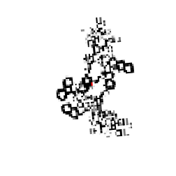 C=CCOC(=O)C(Cc1ccc(OCc2cn([C@@H]3CCN(C(=O)C(NC(=O)C(C)N(C)C(=O)OC(C)(C)C)C(C)(C)C)[C@@H]3C(=O)NC(Cc3ccc4ccccc4c3)C(=O)O)nn2)cc1)NC(=O)C(Cc1ccc2ccccc2c1)NC(=O)[C@@H]1[C@H](n2cc(COc3ccc(CC(NC(=O)OCC4c5ccccc5-c5ccccc54)C(=O)OC)cc3)nn2)CCN1C(=O)C(NC(=O)C(C)N(C)C(=O)OC(C)(C)C)C(C)(C)C